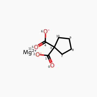 O=C([O-])C1(C(=O)[O-])CCCC1.[Mg+2]